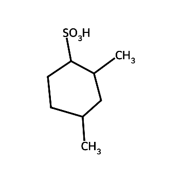 CC1CCC(S(=O)(=O)O)C(C)C1